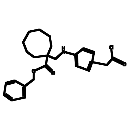 O=C(Cl)Cc1ccc(NCC2(C(=O)OCc3ccccc3)CCCCCCC2)cc1